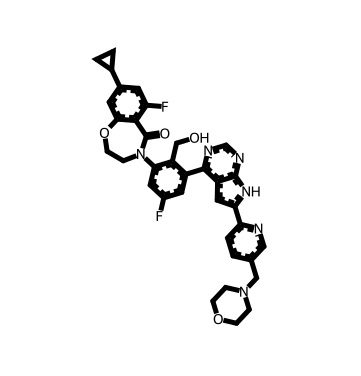 O=C1c2c(F)cc(C3CC3)cc2OCCN1c1cc(F)cc(-c2ncnc3[nH]c(-c4ccc(CN5CCOCC5)cn4)cc23)c1CO